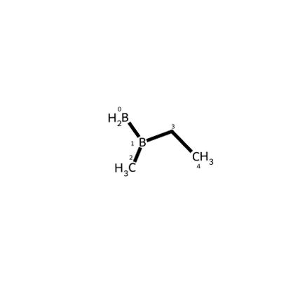 BB(C)CC